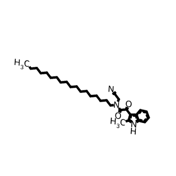 CCCCCCCCCCCCCCCCCCN(CC#N)C(=O)C(=O)c1c(C)[nH]c2ccccc12